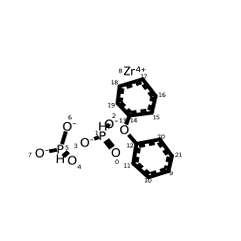 O=[PH]([O-])[O-].O=[PH]([O-])[O-].[Zr+4].c1ccc(Oc2ccccc2)cc1